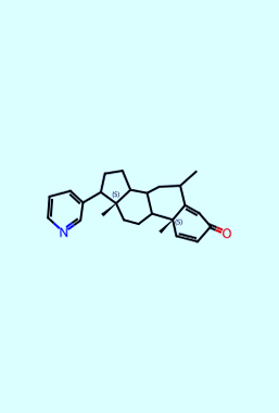 CC1CC2C3CCC(c4cccnc4)[C@@]3(C)CCC2[C@@]2(C)C=CC(=O)C=C12